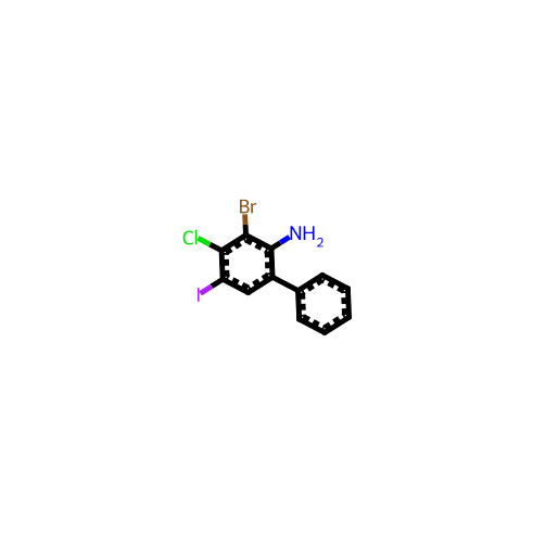 Nc1c(-c2ccccc2)cc(I)c(Cl)c1Br